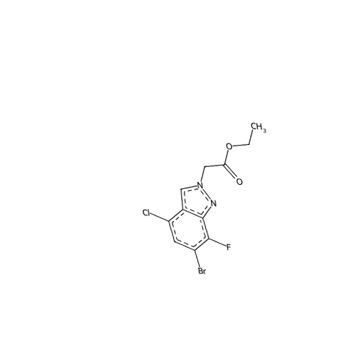 CCOC(=O)Cn1cc2c(Cl)cc(Br)c(F)c2n1